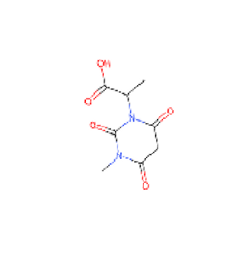 CC(C(=O)O)N1C(=O)CC(=O)N(C)C1=O